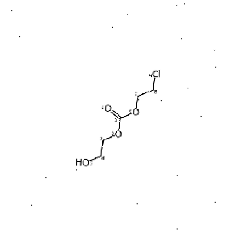 O=C(OCCO)OCCCl